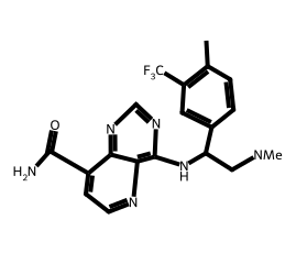 CNCC(Nc1ncnc2c(C(N)=O)ccnc12)c1ccc(C)c(C(F)(F)F)c1